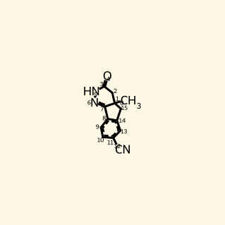 CC12CC(=O)NN=C1c1ccc(C#N)cc1C2